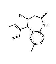 C=C/C(=C\C)C1c2cc(C)ccc2NC(=C)CN1CC